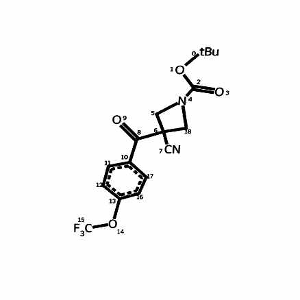 CC(C)(C)OC(=O)N1CC(C#N)(C(=O)c2ccc(OC(F)(F)F)cc2)C1